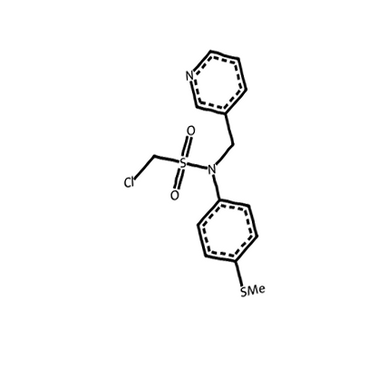 CSc1ccc(N(Cc2cccnc2)S(=O)(=O)CCl)cc1